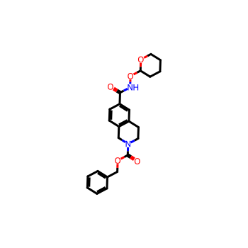 O=C(NOC1CCCCO1)c1ccc2c(c1)CCN(C(=O)OCc1ccccc1)C2